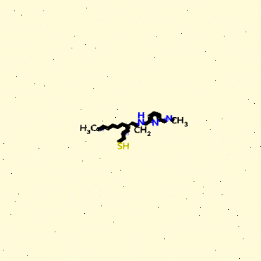 C=C(C[C@@H](/C=C/CCS)CCCC/C=C/C)NCc1cccc(/C=N/C)n1